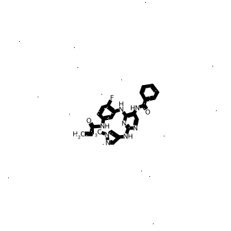 C=CC(=O)Nc1ccc(F)c(Nc2nc(Nc3cnn(C)c3)ncc2NC(=O)c2ccccc2)c1